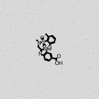 Cc1cccc(Cl)c1S(=O)(=O)N(C)Cc1nc2ccc(C(=O)O)cc2[nH]1